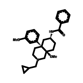 COc1cccc([C@@]23CCN(CC4CC4)C[C@@]2(OC)CC[C@@H](NC(=O)c2ccccc2)C3)c1